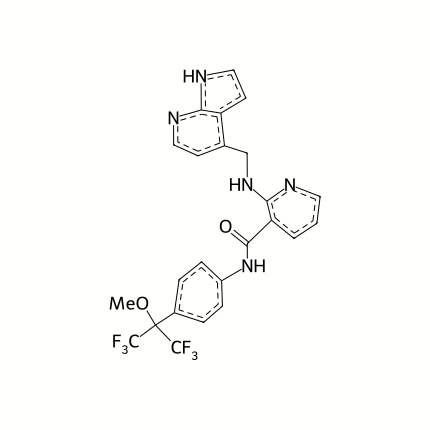 COC(c1ccc(NC(=O)c2cccnc2NCc2ccnc3[nH]ccc23)cc1)(C(F)(F)F)C(F)(F)F